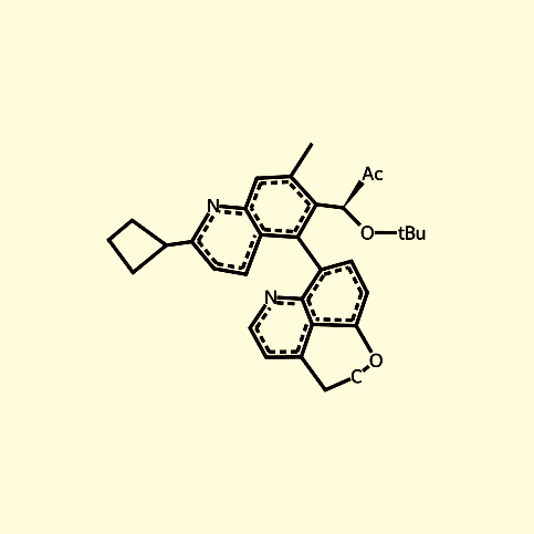 CC(=O)[C@@H](OC(C)(C)C)c1c(C)cc2nc(C3CCC3)ccc2c1-c1ccc2c3c(ccnc13)CCO2